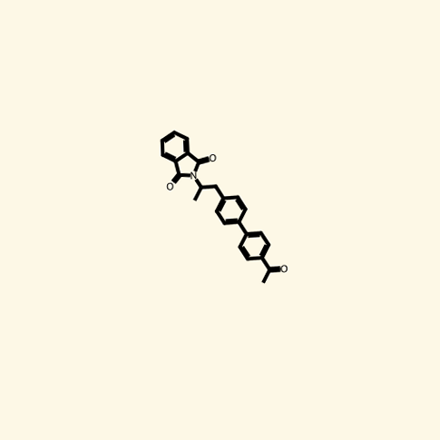 CC(=O)c1ccc(-c2ccc(CC(C)N3C(=O)c4ccccc4C3=O)cc2)cc1